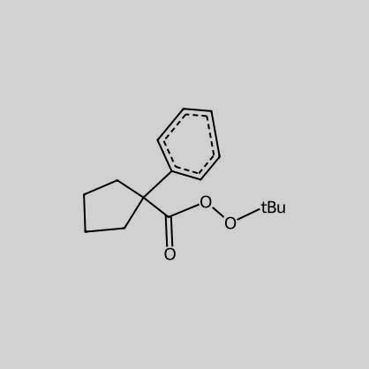 CC(C)(C)OOC(=O)C1(c2ccccc2)CCCC1